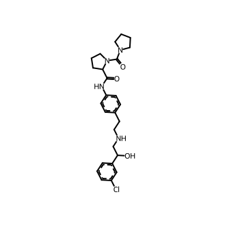 O=C(Nc1ccc(CCNCC(O)c2cccc(Cl)c2)cc1)C1CCCN1C(=O)N1CCCC1